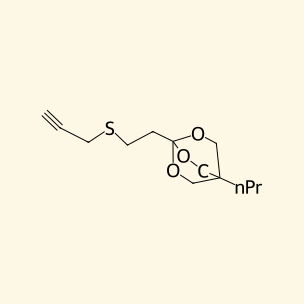 C#CCSCCC12OCC(CCC)(CO1)CO2